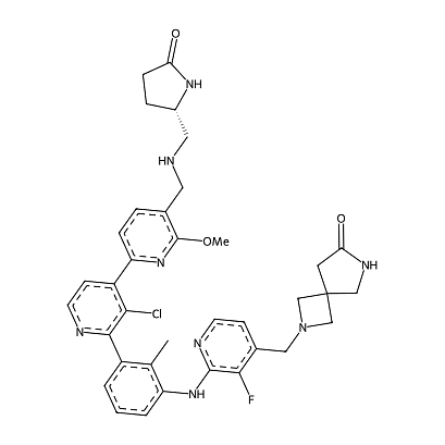 COc1nc(-c2ccnc(-c3cccc(Nc4nccc(CN5CC6(CNC(=O)C6)C5)c4F)c3C)c2Cl)ccc1CNC[C@@H]1CCC(=O)N1